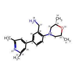 Cc1cc(-c2ccc(N3C[C@@H](C)O[C@@H](C)C3)c(CN)c2)cc(C)n1